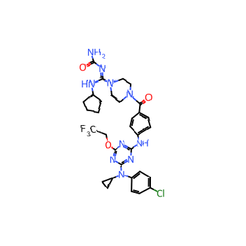 NC(=O)/N=C(\NC1CCCC1)N1CCN(C(=O)c2ccc(Nc3nc(OCC(F)(F)F)nc(N(c4ccc(Cl)cc4)C4CC4)n3)cc2)CC1